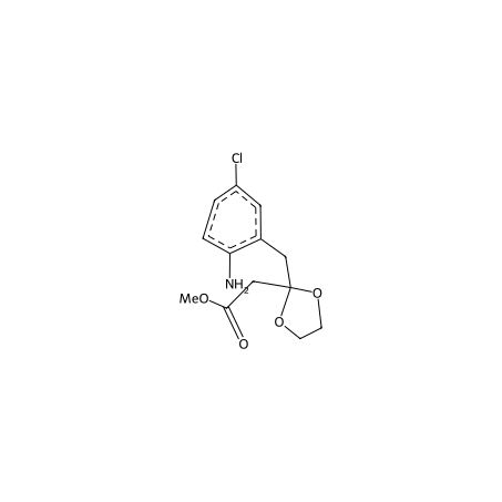 COC(=O)CC1(Cc2cc(Cl)ccc2N)OCCO1